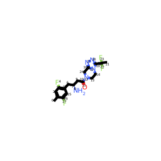 Cc1cc(F)c(C[C@@H](N)CC(=O)N2CCn3c(nnc3C(C)(F)F)C2)cc1F